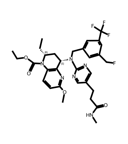 CCOC(=O)N1c2ccc(OC)nc2[C@@H](N(Cc2cc(CF)cc(C(F)(F)F)c2)c2ncc(CCC(=O)NC)cn2)C[C@H]1CC